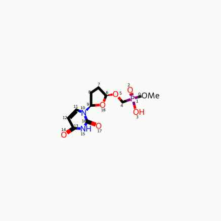 COP(=O)(O)CO[C@@H]1CC[C@H](n2ccc(=O)[nH]c2=O)O1